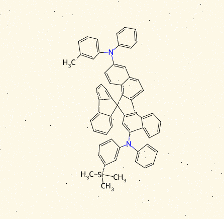 Cc1cccc(N(c2ccccc2)c2ccc3c4c(ccc3c2)-c2c(cc(N(c3ccccc3)c3cccc([Si](C)(C)C)c3)c3ccccc23)C42c3ccccc3-c3ccccc32)c1